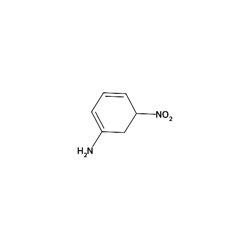 NC1=CC=CC([N+](=O)[O-])C1